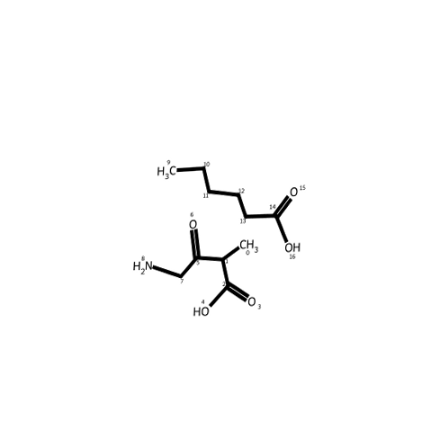 CC(C(=O)O)C(=O)CN.CCCCCC(=O)O